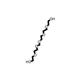 OCCOCCOCCOCOCCOCCO